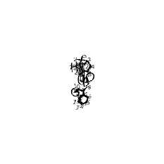 CC1(C)C2CC3OB(Cc4coc5ccccc45)O[C@@]3(C)[C@H]1C2